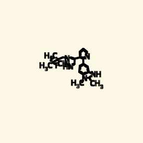 CC1Nc2cc(-c3ncccc3/C(C=N)=C/NCC(C)(C)C(C)(F)F)ccc2N1C